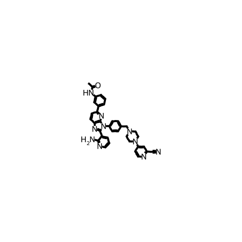 CC(=O)Nc1cccc(-c2ccc3nc(-c4cccnc4N)n(-c4ccc(CN5CCN(c6ccnc(C#N)c6)CC5)cc4)c3n2)c1